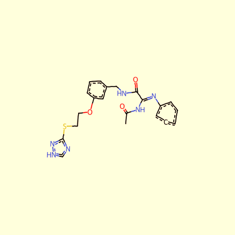 CC(=O)N/C(=N\c1ccccc1)C(=O)NCc1cccc(OCCSc2nc[nH]n2)c1